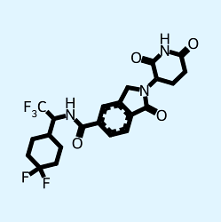 O=C1CCC(N2Cc3cc(C(=O)NC(C4CCC(F)(F)CC4)C(F)(F)F)ccc3C2=O)C(=O)N1